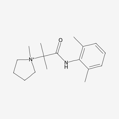 Cc1cccc(C)c1NC(=O)C(C)(C)[N+]1(C)CCCC1